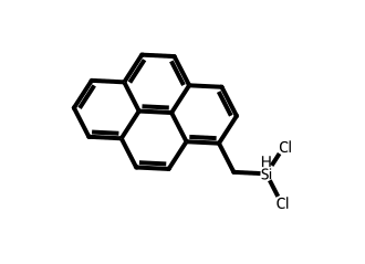 Cl[SiH](Cl)Cc1ccc2ccc3cccc4ccc1c2c34